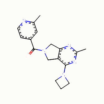 Cc1cc(C(=O)N2Cc3nc(C)nc(N4CCC4)c3C2)ccn1